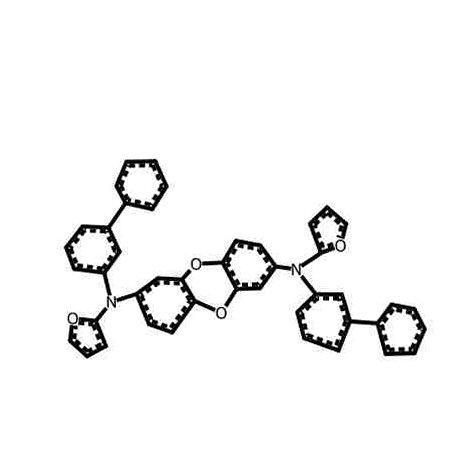 c1ccc(-c2cccc(N(c3ccc4c(c3)Oc3ccc(N(c5cccc(-c6ccccc6)c5)c5ccco5)cc3O4)c3ccco3)c2)cc1